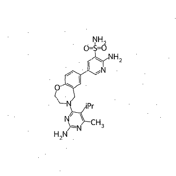 Cc1nc(N)nc(N2CCOc3ccc(-c4cnc(N)c(S(N)(=O)=O)c4)cc3C2)c1C(C)C